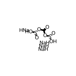 O=C(OS(=O)O)OS(=O)O.[NaH].[NaH].[NaH].[NaH]